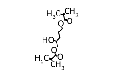 C=C(C)C(=O)OCCCC(O)COC(=O)C(=C)C